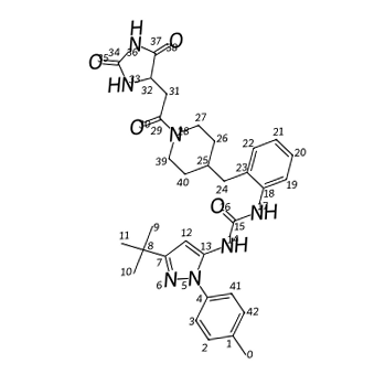 Cc1ccc(-n2nc(C(C)(C)C)cc2NC(=O)Nc2ccccc2CC2CCN(C(=O)CC3NC(=O)NC3=O)CC2)cc1